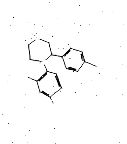 Clc1ccc(C2CNCCN2c2ccc(Cl)cc2Cl)cc1